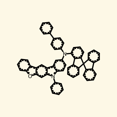 c1ccc(-c2ccc(N(c3ccc4c(c3)c3cc5c(cc3n4-c3ccccc3)oc3ccccc35)c3cccc4c3-c3ccccc3C43c4ccccc4-c4ccccc43)cc2)cc1